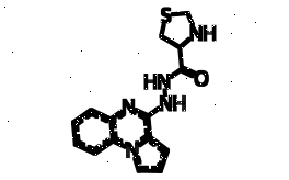 O=C(NNc1nc2ccccc2n2cccc12)C1CSCN1